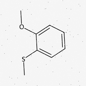 COc1c[c]ccc1SC